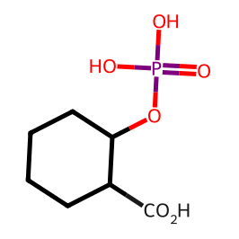 O=C(O)C1CCCCC1OP(=O)(O)O